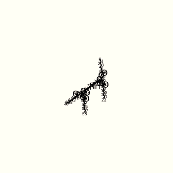 CCCCCCCC(=O)OCC(COC(=O)CCCCCCC)OC(=O)CCCNCCCC(=O)OC(COC(=O)CCCCCCC)COC(=O)CCCCCCC